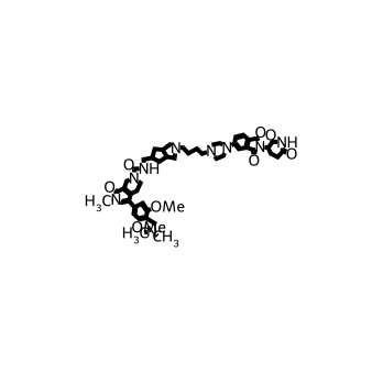 COc1cc(-c2cn(C)c(=O)c3c2CCN(C(=O)NCC2CC4CN(CCCCN5CCN(c6ccc7c(c6)C(=O)N(C6CCC(=O)NC6=O)C7=O)CC5)CC4C2)C3)cc(OC)c1CN(C)C